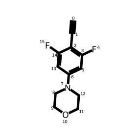 C#Cc1c(F)cc(N2CCOCC2)cc1F